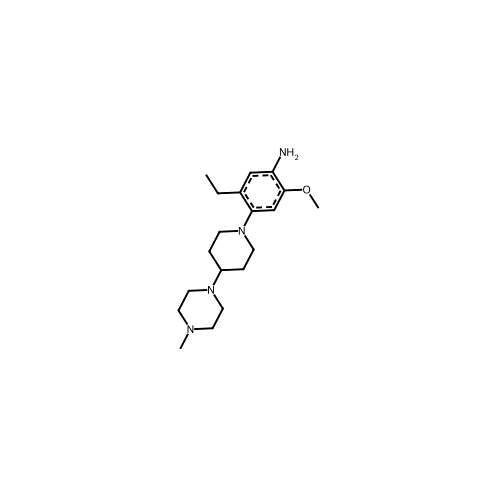 CCc1cc(N)c(OC)cc1N1CCC(N2CCN(C)CC2)CC1